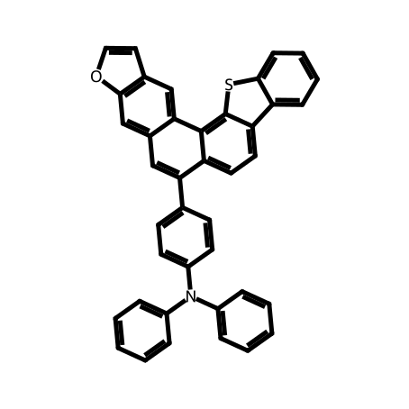 c1ccc(N(c2ccccc2)c2ccc(-c3cc4cc5occc5cc4c4c3ccc3c5ccccc5sc34)cc2)cc1